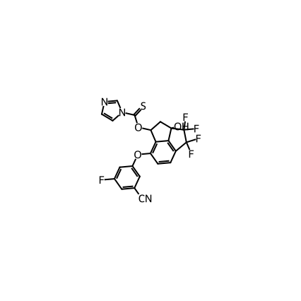 N#Cc1cc(F)cc(Oc2ccc3c4c2C(OC(=S)n2ccnc2)CC4(O)C(F)(F)C3(F)F)c1